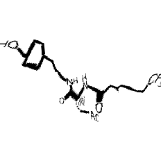 CC(=O)C[C@@H](NC(=O)CCCCC(F)(F)F)C(=O)NCCc1ccc(O)cc1